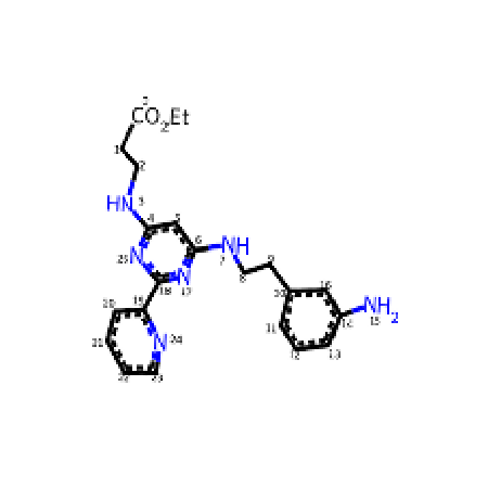 CCOC(=O)CCNc1cc(NCCc2cccc(N)c2)nc(-c2ccccn2)n1